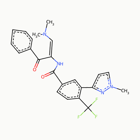 CN(C)/C=C(/NC(=O)c1ccc(C(F)(F)F)c(-c2ccn(C)n2)c1)C(=O)c1ccccc1